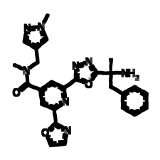 CN(Cc1cnn(C)c1)C(=O)c1cc(-c2ncco2)nc(-c2nnc([C@](C)(N)Cc3ccccc3)o2)c1